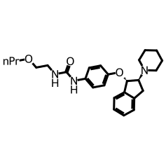 CCCOCCNC(=O)Nc1ccc(O[C@H]2c3ccccc3C[C@@H]2N2CCCCC2)cc1